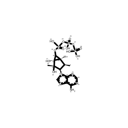 C[C@H]1[C@@H](n2cnc3c(N)ncnc32)[C@](C)(O)[C@@]2(O)C(OP(=O)(O)OP(=O)(O)OP(=O)(O)O)[C@@H]12